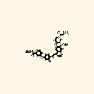 C=CC(=O)N1CCC(Oc2cc3c(CCc4ccc(Oc5cccc(C(=O)NC(C)(C)C)c5)cc4F)ncnc3cc2OC)CC1